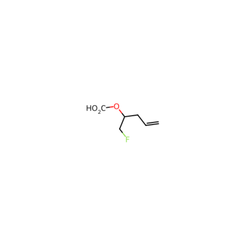 C=CCC(CF)OC(=O)O